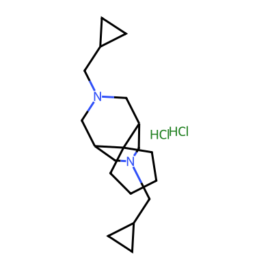 C1CCC2(C1)C1CN(CC3CC3)CC2CN(CC2CC2)C1.Cl.Cl